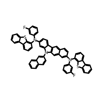 Fc1cccc(N(c2ccc3cc4c5ccc(N(c6cccc(F)c6)c6cccc7c6sc6ccccc67)cc5n(-c5ccc6ccccc6c5)c4cc3c2)c2cccc3c2sc2ccccc23)c1